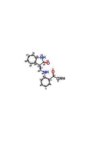 COC(=O)c1ccccc1N/C=C1\C(=O)Nc2ccccc21